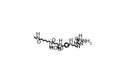 CCNC(=O)CCCCCNC(=O)CCC(NC(=O)c1ccc(NCc2cnc3nc(N)[nH]c(=O)c3n2)cc1)C(=O)O